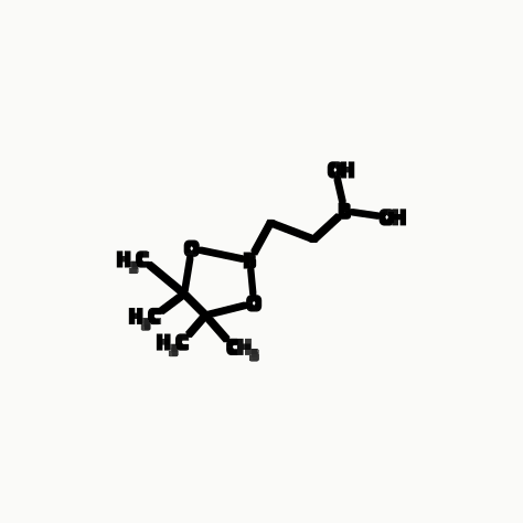 CC1(C)OB(CCB(O)O)OC1(C)C